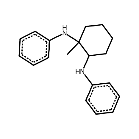 CC1(Nc2ccccc2)CCCCC1Nc1ccccc1